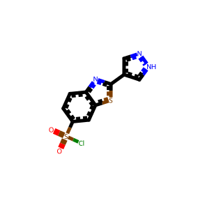 O=S(=O)(Cl)c1ccc2nc(-c3cn[nH]c3)sc2c1